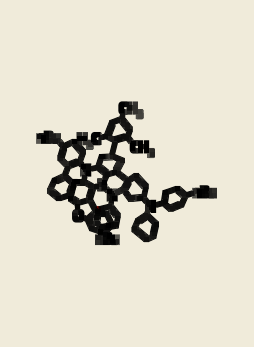 CCCCc1ccc(N2B3c4c(cc(-c5c(C)cc(C)cc5C)cc4N(c4ccc(CCCC)cc4-c4ccccc4)c4ccc5oc6ccccc6c5c43)-c3ccc(N(c4ccccc4)c4ccc(CCCC)cc4)cc32)cc1